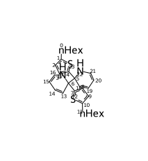 CCCCCCc1ccc(C2(C3(c4ccc(CCCCCC)s4)C=CC=CN3)C=CC=CN2)s1